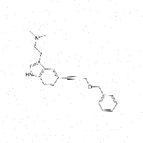 CN(C)CCc1c[nH]c2ccc(C#CCOCc3ccccc3)cc12